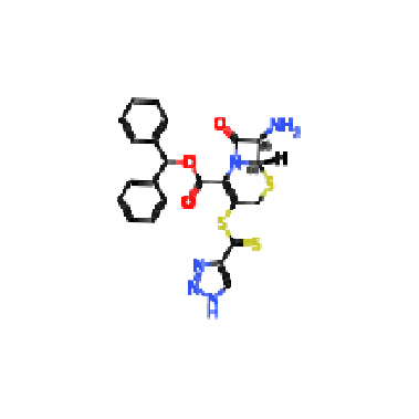 N[C@@H]1C(=O)N2C(C(=O)OC(c3ccccc3)c3ccccc3)=C(SC(=S)c3c[nH]nn3)CS[C@@H]12